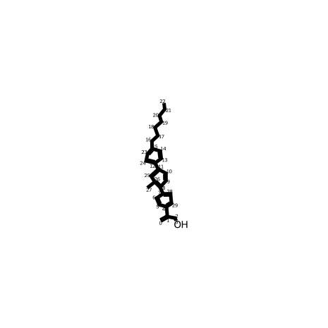 C=C(CO)c1ccc(-c2ccc(-c3ccc(CCCCCCC)cc3)cc2C)cc1